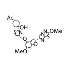 COc1cc(OCc2csc(C3(O)CCC(C(C)=O)CC3)n2)c2cc(-c3cn4nc(OC)sc4n3)oc2c1